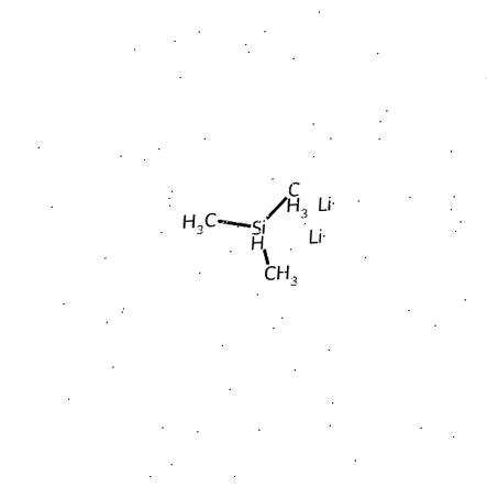 C[SiH](C)C.[Li].[Li]